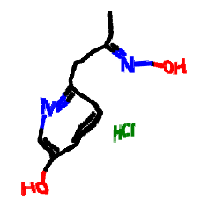 CC(Cc1ccc(O)cn1)=NO.Cl